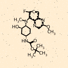 COc1cnc2c(N(C)[C@H]3CC[C@H](NC(=O)OC(C)(C)C)C[C@H]3O)c(F)ccc2n1